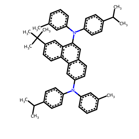 Cc1cccc(N(c2ccc(C(C)C)cc2)c2ccc3cc(N(c4ccc(C(C)C)cc4)c4cccc(C)c4)c4cc(C(C)(C)C)ccc4c3c2)c1